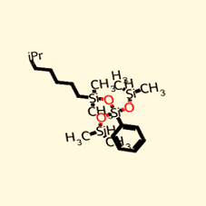 CC(C)CCCCC[Si](C)(C)O[Si](O[SiH](C)C)(O[SiH](C)C)c1ccccc1